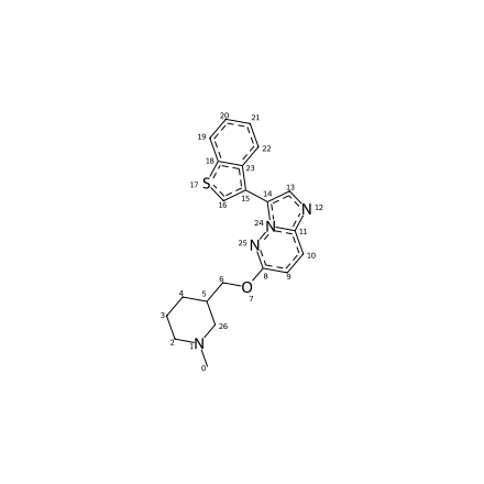 CN1CCCC(COc2ccc3ncc(-c4csc5ccccc45)n3n2)C1